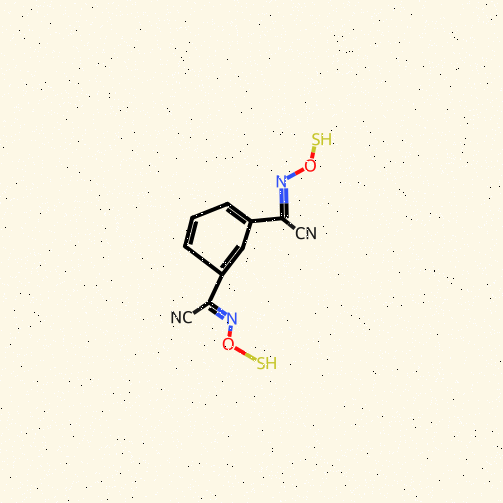 N#CC(=NOS)c1cccc(C(C#N)=NOS)c1